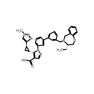 CC[C@H]1COc2ccccc2CN1Cc1cccc(-c2cccc(-n3ncc(C(=O)O)c3[C@@H]3C[C@H]3c3cn(C)nn3)c2)c1